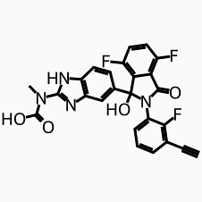 C#Cc1cccc(N2C(=O)c3c(F)ccc(F)c3C2(O)c2ccc3[nH]c(N(C)C(=O)O)nc3c2)c1F